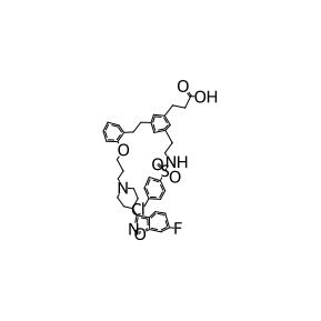 O=C(O)CCc1cc(CCNS(=O)(=O)c2ccc(Cl)cc2)cc(CCc2ccccc2OCCCN2CCC(c3noc4cc(F)ccc34)CC2)c1